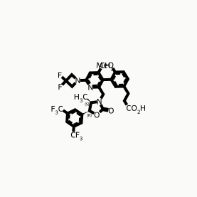 COc1ccc(CCC(=O)O)cc1-c1c(C)cc(N2CC(F)(F)C2)nc1CN1C(=O)O[C@H](c2cc(C(F)(F)F)cc(C(F)(F)F)c2)[C@@H]1C